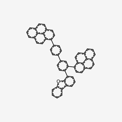 c1cc2ccc3ccc(-c4ccc(-c5ccc(-c6cccc7c6oc6ccccc67)c(-c6ccc7ccc8cccc9ccc6c7c89)c5)cc4)c4ccc(c1)c2c34